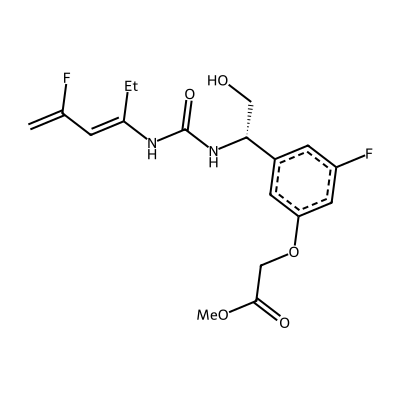 C=C(F)/C=C(\CC)NC(=O)N[C@H](CO)c1cc(F)cc(OCC(=O)OC)c1